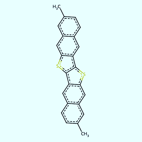 Cc1ccc2cc3c(cc2c1)sc1c2cc4ccc(C)cc4cc2sc31